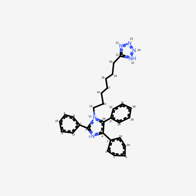 c1ccc(-c2nc(-c3ccccc3)n(CCCCCCCc3nnn[nH]3)c2-c2ccccc2)cc1